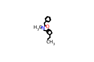 CCCC1CC2CC(CN(C)C(=O)Cc3ccccc3)C1C2